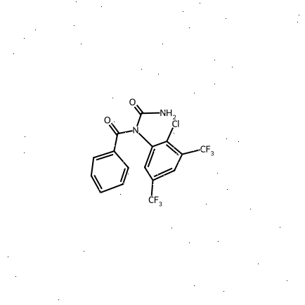 NC(=O)N(C(=O)c1ccccc1)c1cc(C(F)(F)F)cc(C(F)(F)F)c1Cl